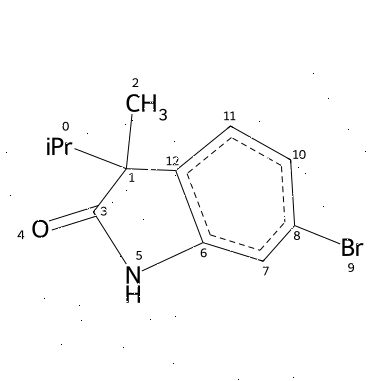 CC(C)C1(C)C(=O)Nc2cc(Br)ccc21